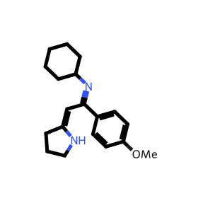 COc1ccc(C(/C=C2/CCCN2)=N/C2CCCCC2)cc1